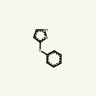 [c]1ccc(Oc2cc[nH]n2)cc1